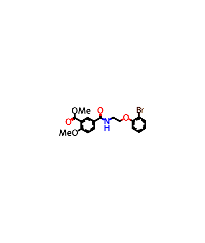 COC(=O)c1cc(C(=O)NCCOc2ccccc2Br)ccc1OC